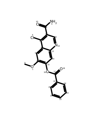 COc1cc2c(Cl)c(C(N)=O)cnc2cc1OC(=O)c1ccccc1